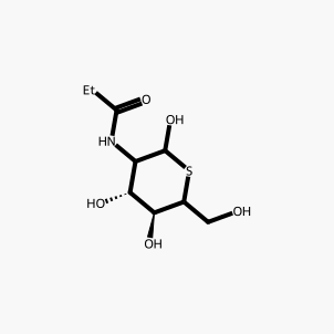 CCC(=O)NC1C(O)SC(CO)[C@@H](O)[C@@H]1O